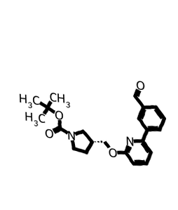 CC(C)(C)OC(=O)N1CC[C@@H](COc2cccc(-c3cccc(C=O)c3)n2)C1